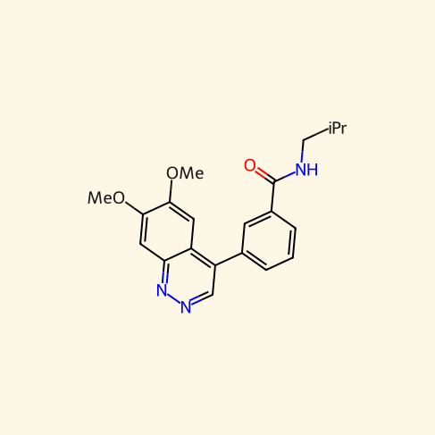 COc1cc2nncc(-c3cccc(C(=O)NCC(C)C)c3)c2cc1OC